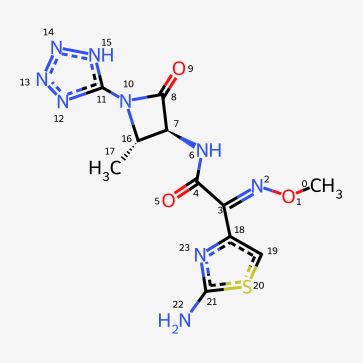 CON=C(C(=O)N[C@@H]1C(=O)N(c2nnn[nH]2)[C@H]1C)c1csc(N)n1